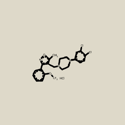 Cc1onc(-c2ccccc2OC(F)(F)F)c1CN1CCN(c2ccc(Cl)c(Cl)c2)CC1.Cl